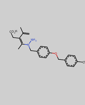 C=C(C)/C(CC(=O)O)=C(/C)N(N)Cc1ccc(OCc2ccc(C(F)(F)F)cc2)cc1